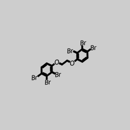 Brc1ccc(OCCOc2ccc(Br)c(Br)c2Br)c(Br)c1Br